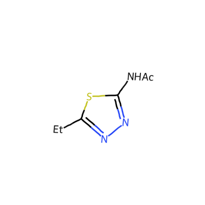 CCc1nnc(NC(C)=O)s1